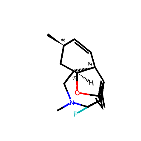 C[C@H]1C=C[C@@]23CCN(C)Cc4ccc(F)c(c42)O[C@H]3C1